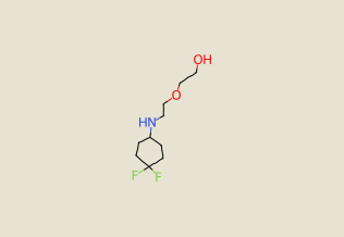 OCCOCCNC1CCC(F)(F)CC1